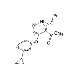 COC(=O)C(=C(/N)OC(C)C)/C(=C\N)Oc1cccc(C2CC2)c1